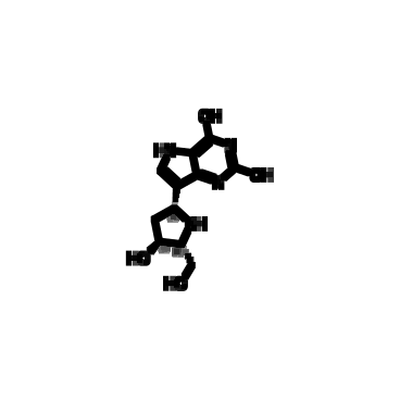 OC[C@H]1N[C@@H](c2c[nH]c3c(O)nc(O)nc23)C[C@@H]1O